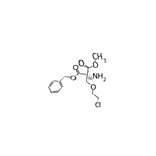 COC(=O)[C@@](N)(COCCCl)C(=O)OCc1ccccc1